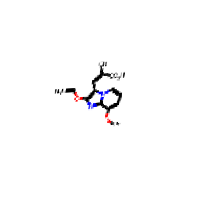 C=COc1nc2c(OC(C)C)cccn2c1C=C(C#N)C(=O)O